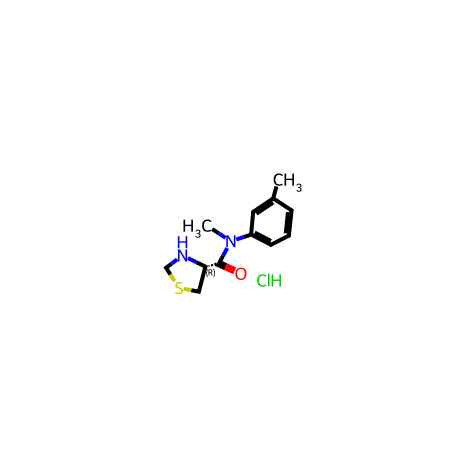 Cc1cccc(N(C)C(=O)[C@@H]2CSCN2)c1.Cl